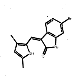 Cc1cc(C)c(/C=C2\C(=O)Nc3cc(Br)ccc32)[nH]1